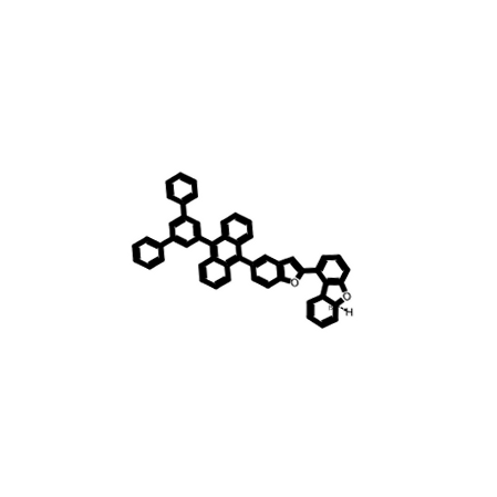 C1=CC2c3c(cccc3-c3cc4cc(-c5c6ccccc6c(-c6cc(-c7ccccc7)cc(-c7ccccc7)c6)c6ccccc56)ccc4o3)O[C@H]2C=C1